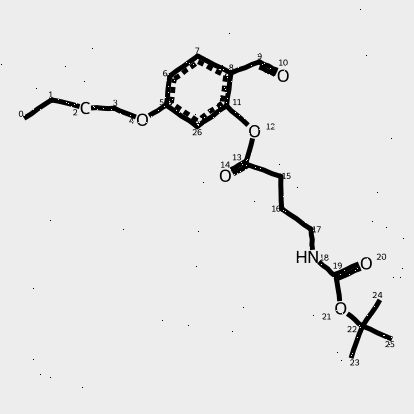 CCCCOc1ccc(C=O)c(OC(=O)CCCNC(=O)OC(C)(C)C)c1